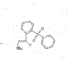 CCCCC=C(F)c1ccccc1S(=O)(=O)c1ccccc1